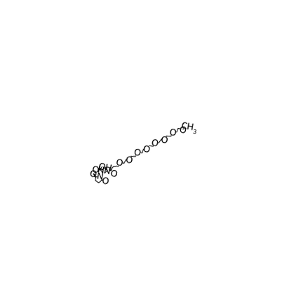 COCCOCCOCCOCCOCCOCCOCCOCCC(=O)NC[C@@H](C(=O)O)N1C(=O)CCC1=O